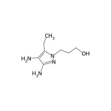 CCc1c(N)c(N)nn1CCCO